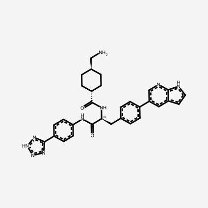 NC[C@H]1CC[C@H](C(=O)N[C@@H](Cc2ccc(-c3cnc4[nH]ccc4c3)cc2)C(=O)Nc2ccc(-c3nn[nH]n3)cc2)CC1